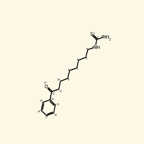 NC(=S)NCCCCCCCCC(=O)c1ccccc1